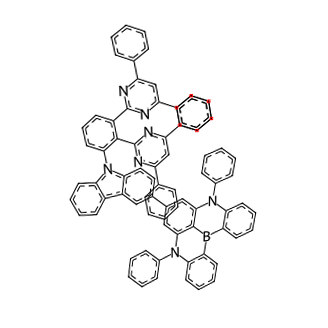 c1ccc(-c2cc(-c3ccccc3)nc(-c3cccc(-n4c5ccccc5c5cc(-c6cc7c8c(c6)N(c6ccccc6)c6ccccc6B8c6ccccc6N7c6ccccc6)ccc54)c3-c3nc(-c4ccccc4)cc(-c4ccccc4)n3)n2)cc1